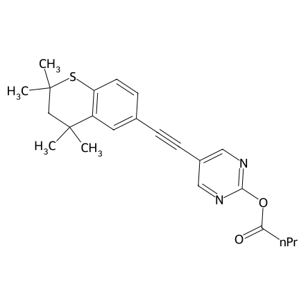 CCCC(=O)Oc1ncc(C#Cc2ccc3c(c2)C(C)(C)CC(C)(C)S3)cn1